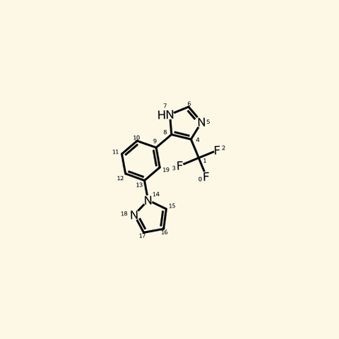 FC(F)(F)c1nc[nH]c1-c1cccc(-n2cccn2)c1